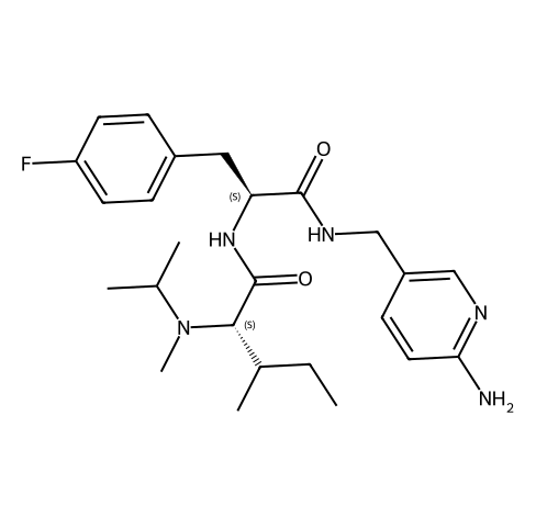 CCC(C)[C@@H](C(=O)N[C@@H](Cc1ccc(F)cc1)C(=O)NCc1ccc(N)nc1)N(C)C(C)C